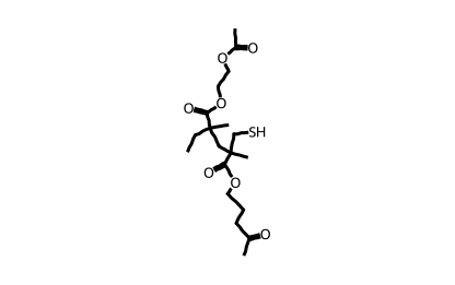 CCC(C)(CC(C)(CS)C(=O)OCCCC(C)=O)C(=O)OCCOC(C)=O